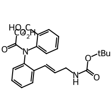 CC(C)(C)OC(=O)NCC=Cc1ccccc1N(C(=O)C(=O)O)c1ccccc1C(=O)O